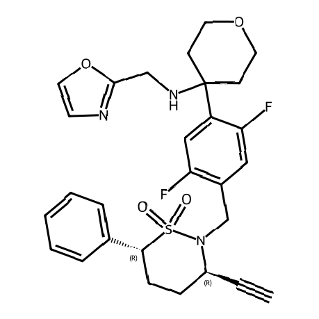 C#C[C@H]1CC[C@H](c2ccccc2)S(=O)(=O)N1Cc1cc(F)c(C2(NCc3ncco3)CCOCC2)cc1F